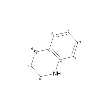 [c]1cccc2c1SCCN2